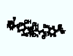 CO[C@@]1(NC=C[S+]([O-])c2ccc([N+](=O)[O-])cc2Br)C(=O)N2C(C(=O)O)=C(CSc3nnnn3C)CS[C@H]21